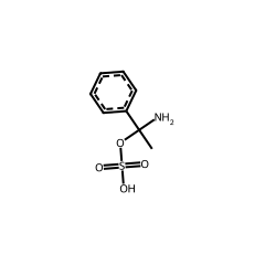 CC(N)(OS(=O)(=O)O)c1ccccc1